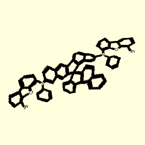 CC(C)c1cccc2c1oc1c(N(c3ccccc3)c3ccc4cc5c(cc4c3)C3(c4ccccc4-c4c3ccc3ccccc43)c3c-5ccc4cc(N(c5ccccc5)c5cccc6c5oc5c(C(C)C)cccc56)ccc34)cccc12